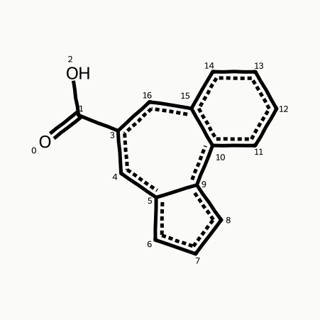 O=C(O)c1cc2cccc-2c2ccccc2c1